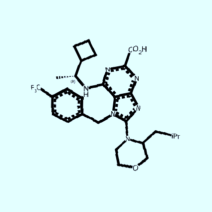 CC(C)CC1COCCN1c1nc2nc(C(=O)O)nc(N[C@H](C)C3CCC3)c2n1Cc1ccc(C(F)(F)F)cc1